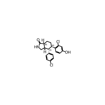 O=C1NC[C@H]2[C@@H](c3ccc(Cl)cc3)[C@H](c3ccc(O)cc3Cl)CC[C@@H]12